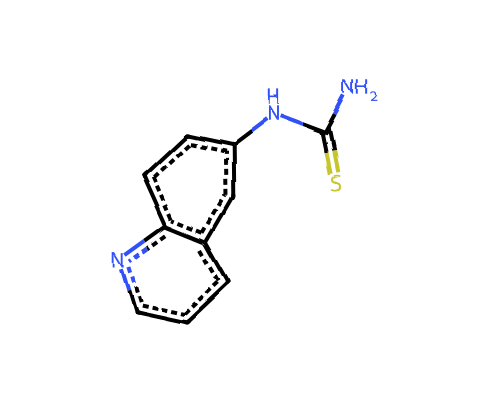 NC(=S)Nc1ccc2ncccc2c1